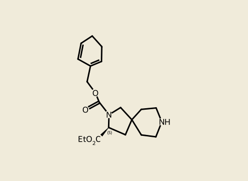 CCOC(=O)[C@@H]1CC2(CCNCC2)CN1C(=O)OCC1=CCCC=C1